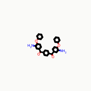 Nc1cc(C(=O)c2ccc(C(=O)c3ccc(Oc4ccccc4)c(N)c3)cc2)ccc1Oc1ccccc1